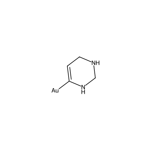 [Au][C]1=CCNCN1